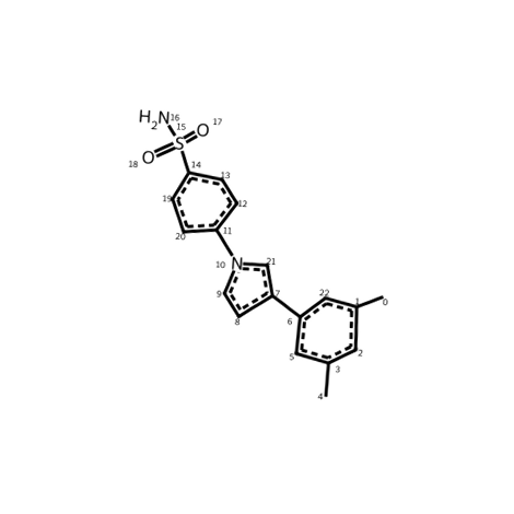 Cc1cc(C)cc(-c2ccn(-c3ccc(S(N)(=O)=O)cc3)c2)c1